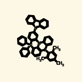 Cc1cc(C)c(B2c3ccccc3N3c4cc(-n5c6ccccc6c6ccccc65)ccc4[Si](c4ccccc4)(c4ccccc4)c4cccc2c43)c(C)c1